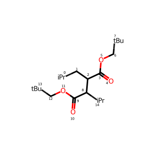 CC(C)CC(C(=O)OCC(C)(C)C)C(C(=O)OCC(C)(C)C)C(C)C